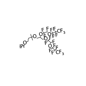 CC(C)OCCC(C)(C)OCC(COC(F)(F)C(F)OC(F)(F)C(F)(F)C(F)(F)F)OC(F)(F)C(F)OC(F)(F)C(F)(F)C(F)(F)F